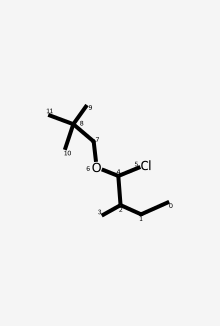 CCC(C)C(Cl)OCC(C)(C)C